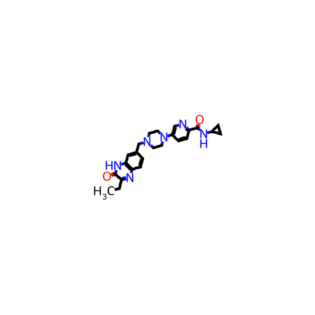 CCc1nc2ccc(CN3CCN(c4ccc(C(=O)NC5CC5)nc4)CC3)cc2[nH]c1=O